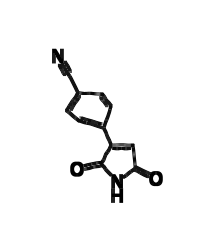 N#Cc1ccc(C2=CC(=O)NC2=O)cc1